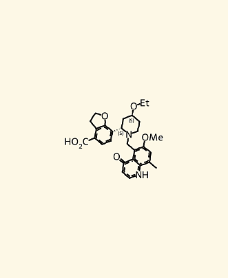 CCO[C@H]1CCN(Cc2c(OC)cc(C)c3[nH]ccc(=O)c23)[C@H](c2ccc(C(=O)O)c3c2OCC3)C1